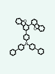 c1ccc(-c2ccc(N(c3ccc(-c4ccccc4)cc3)c3ccc(-c4cc(-c5cccc6c5oc5ccccc56)c5oc6ccccc6c5c4)cc3)cc2)cc1